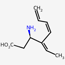 C=C/C=C\C(=C/C)[C@H](N)CC(=O)O